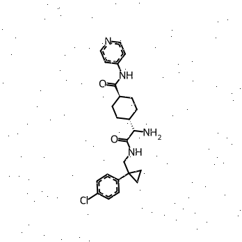 NC(C(=O)NCC1(c2ccc(Cl)cc2)CC1)[C@H]1CC[C@H](C(=O)Nc2ccncc2)CC1